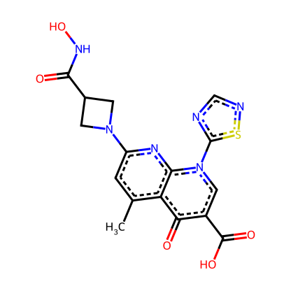 Cc1cc(N2CC(C(=O)NO)C2)nc2c1c(=O)c(C(=O)O)cn2-c1ncns1